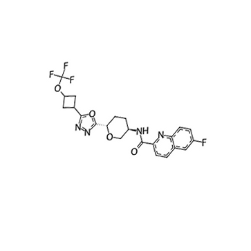 O=C(N[C@@H]1CC[C@@H](c2nnc(C3CC(OC(F)(F)F)C3)o2)OC1)c1ccc2cc(F)ccc2n1